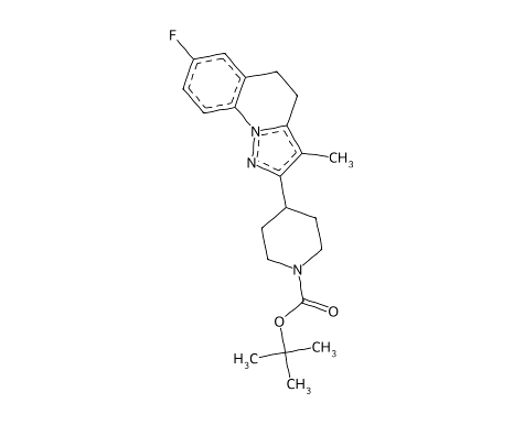 Cc1c(C2CCN(C(=O)OC(C)(C)C)CC2)nn2c1CCc1cc(F)ccc1-2